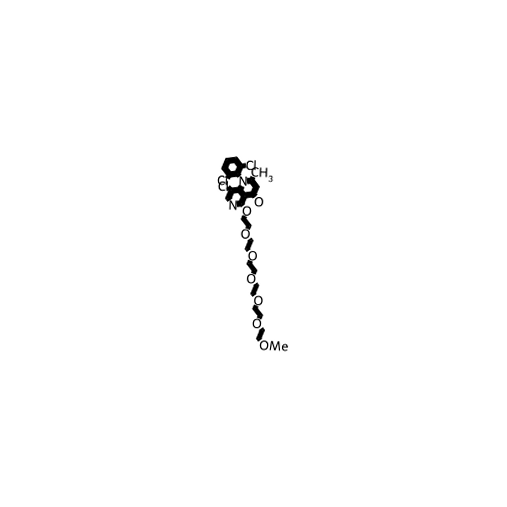 COCCOCCOCCOCCOCCOCCOc1ncc(Cl)c2c1c(=O)cc(C)n2-c1c(Cl)cccc1Cl